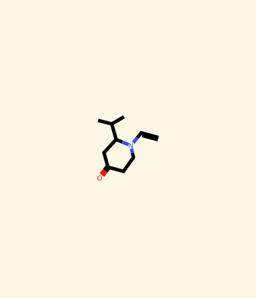 C=CN1CCC(=O)CC1C(C)C